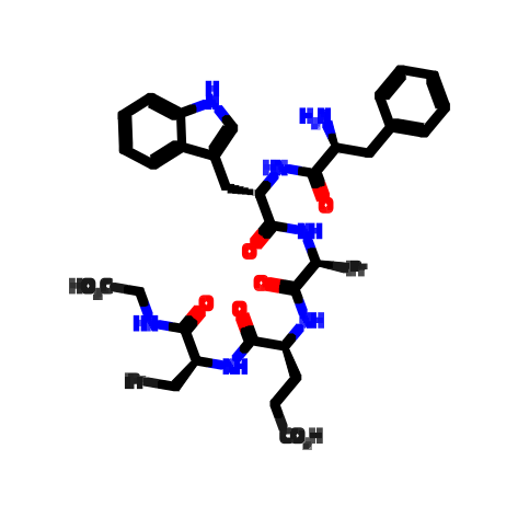 CC(C)C[C@H](NC(=O)[C@H](CCC(=O)O)NC(=O)[C@@H](NC(=O)[C@H](Cc1c[nH]c2ccccc12)NC(=O)[C@@H](N)Cc1ccccc1)C(C)C)C(=O)NCC(=O)O